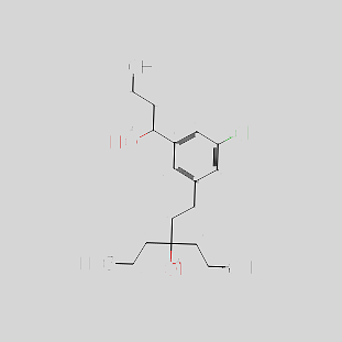 CCCC(O)c1cc(Cl)cc(CCC(O)(CCC)CCC)c1